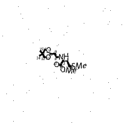 COC(=O)[C@H](CCSC)NCCC1OCC(C)(C)CO1